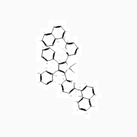 C[Si]1(C)C(c2cccc(-c3cccc4ccccc34)n2)=C(c2ccccc2)C(c2ccccc2)=C1c1cccc(-c2cccc3ccccc23)n1